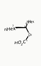 CCCCCCC(CCCCCC)OC(=O)O